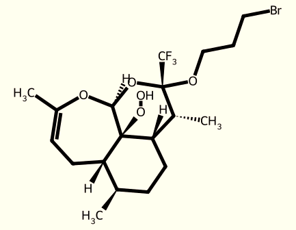 CC1=CC[C@H]2[C@H](C)CC[C@H]3[C@@H](C)[C@](OCCCBr)(C(F)(F)F)O[C@H](O1)[C@@]23OO